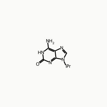 CC(C)n1cnc2c(N)[nH]c(=O)nc21